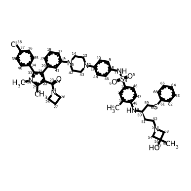 Cc1cc(S(=O)(=O)Nc2ccc(N3CCN(c4cccc(-c5c(C(=O)N6CCC6)c(C)n(C)c5-c5ccc(Cl)cc5)c4)CC3)cc2)ccc1N[C@H](CCN1CC(C)(O)C1)CSc1ccccc1